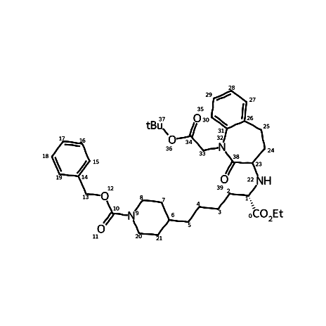 CCOC(=O)[C@H](CCCCC1CCN(C(=O)OCc2ccccc2)CC1)NC1CCc2ccccc2N(CC(=O)OC(C)(C)C)C1=O